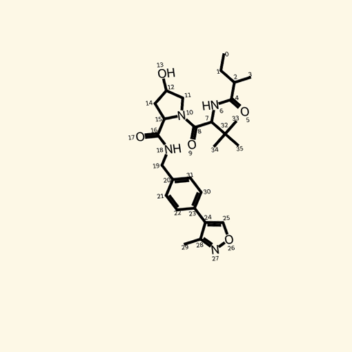 CCC(C)C(=O)NC(C(=O)N1CC(O)CC1C(=O)NCc1ccc(-c2conc2C)cc1)C(C)(C)C